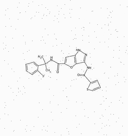 CC(C)(NC(=O)c1cc2[nH]nc(NC(=O)c3cccs3)c2o1)c1ccccc1F